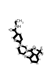 CCNC(=O)c1ccc(N2C=CCN(C(=O)c3c(F)cccc3C(F)(F)F)C2)nc1